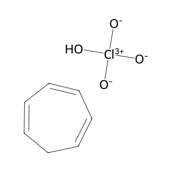 C1=CC=CCC=C1.[O-][Cl+3]([O-])([O-])O